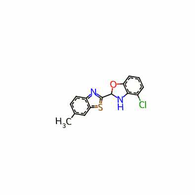 Cc1ccc2nc(C3Nc4c(Cl)cccc4O3)sc2c1